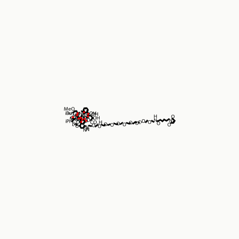 CC[C@@H](C)[C@H]([C@H](CC(=O)N1CCC[C@@H]1[C@@H](OC)[C@H](C)C(=O)N[C@@H](C)[C@H](O)c1ccccc1)OC)N(C)C(=O)[C@H](NC(=O)[C@@H](C(C)C)N(C)C(=O)OC(Cc1cn(CCOCCOCCOCCOCCOCCOCCOCCOCCOCCOCCNC(=O)CCCCCN2C(=O)C=CC2=O)nn1)c1ccc(O[C@@H]2OC(C(=O)O)[C@@H](O)C(O)C2O)c([N+](=O)[O-])c1)C(C)C